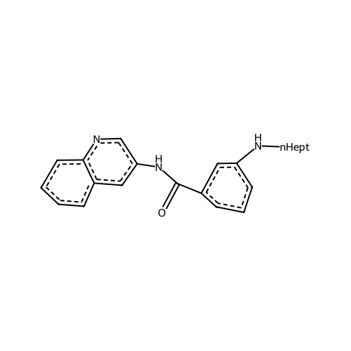 CCCCCCCNc1cccc(C(=O)Nc2cnc3ccccc3c2)c1